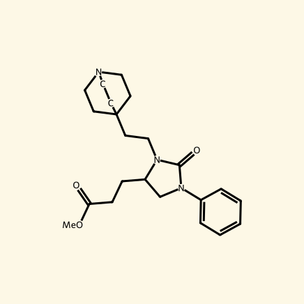 COC(=O)CCC1CN(c2ccccc2)C(=O)N1CCC12CCN(CC1)CC2